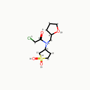 O=C(CCl)N(CC1CCCO1)C1CCS(=O)(=O)C1